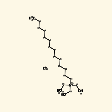 CCCCCCCCCCCCCC[N+](CO)(CO)CO.[Cl-]